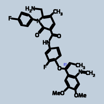 C=Nc1cc(OC)c(OC)cc1/C(=C\C)Oc1ccc(NC(=O)c2cc(C)c(CN)n(-c3ccc(F)cc3)c2=O)cc1F